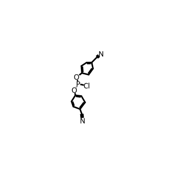 N#Cc1ccc(OP(Cl)Oc2ccc(C#N)cc2)cc1